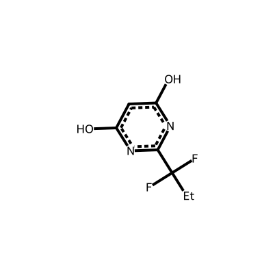 CCC(F)(F)c1nc(O)cc(O)n1